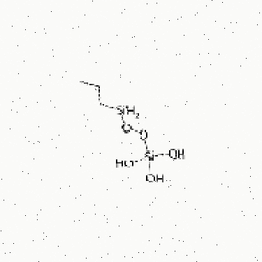 CCC[SiH2]OO[Si](O)(O)O